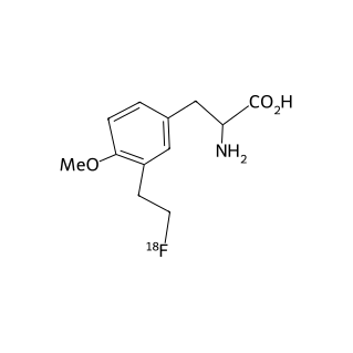 COc1ccc(CC(N)C(=O)O)cc1CC[18F]